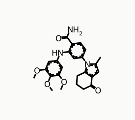 COc1cc(Nc2cc(-n3c(C)cc4c3CCCC4=O)ccc2C(N)=O)cc(OC)c1OC